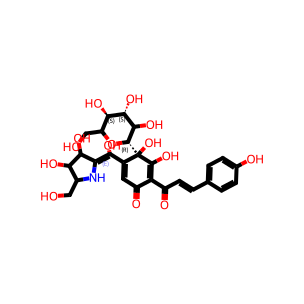 O=C(C=Cc1ccc(O)cc1)C1=C(O)C(O)([C@@H]2OC(CO)[C@@H](O)[C@H](O)C2O)C(/C(O)=C2\NC(CO)C(O)C2O)=CC1=O